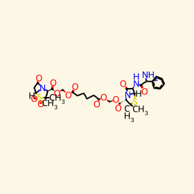 CC1(C)S[C@@H]2[C@H](NC(=O)C(N)c3ccccc3)C(=O)N2[C@H]1C(=O)OCOC(=O)CCCCC(=O)OCOC(=O)[C@@H]1N2C(=O)C[C@H]2S(=O)(=O)C1(C)C